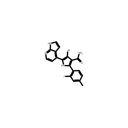 Cc1ccc(-c2[nH]c(-c3ccnc4[nH]ccc34)c(C(C)C)c2C(N)=O)c(F)c1